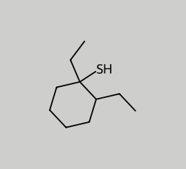 CCC1CCCCC1(S)CC